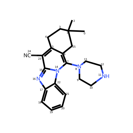 CC1(C)CCc2c(c(N3CCNCC3)n3c(nc4ccccc43)c2C#N)C1